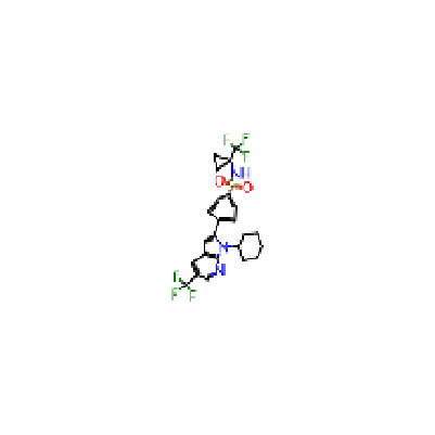 O=S(=O)(NC1(C(F)(F)F)CC1)c1ccc(-c2cc3cc(C(F)(F)F)cnc3n2C2CCCCC2)cc1